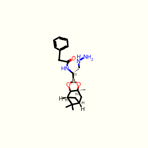 CC1(C)[C@@H]2C[C@H]1C1OB([C@@H](CNN)NC(=O)Cc3ccccc3)O[C@@]1(C)C2